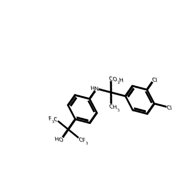 CC(Nc1ccc(C(O)(C(F)(F)F)C(F)(F)F)cc1)(C(=O)O)c1ccc(Cl)c(Cl)c1